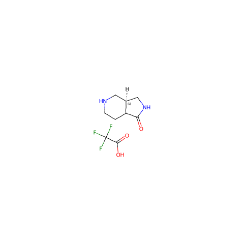 O=C(O)C(F)(F)F.O=C1NC[C@@H]2CNCCC12